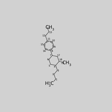 CCCCC1CCC(c2ccc(CCC)cc2)CC1C